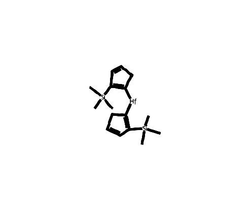 C[Si](C)(C)C1=[C]([Hf][C]2=C([Si](C)(C)C)C=CC2)CC=C1